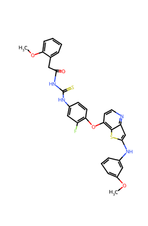 COc1cccc(Nc2cc3nccc(Oc4ccc(NC(=S)NC(=O)Cc5ccccc5OC)cc4F)c3s2)c1